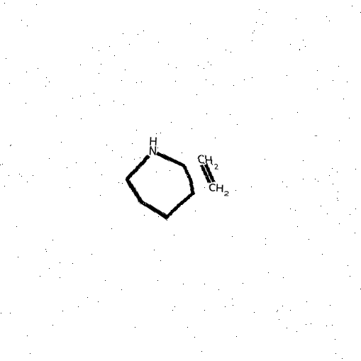 C1CCNCC1.C=C